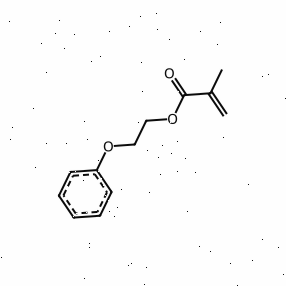 C=C(C)C(=O)OCCOc1ccccc1